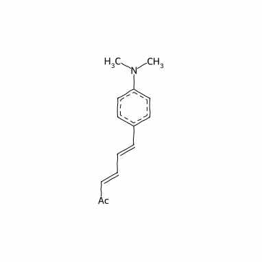 CC(=O)C=CC=Cc1ccc(N(C)C)cc1